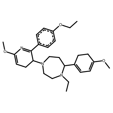 CCOc1ccc(C2=NC(OC)=CCC2N2CCC(C3=CC=C(OC)CC3)N(CC)CC2)cc1